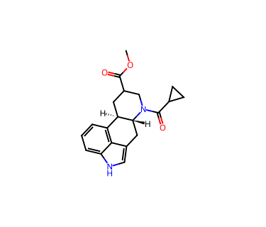 COC(=O)C1C[C@@H]2c3cccc4[nH]cc(c34)C[C@H]2N(C(=O)C2CC2)C1